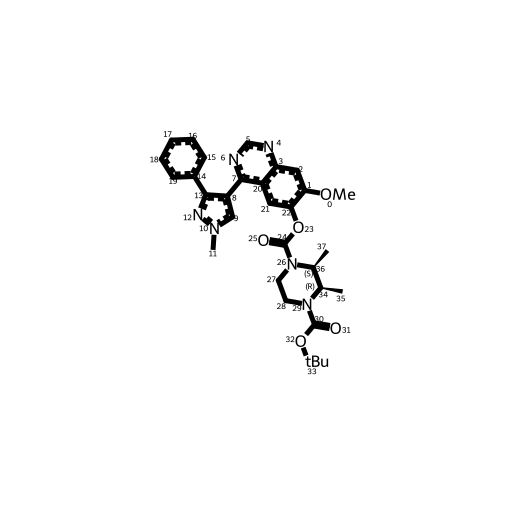 COc1cc2ncnc(-c3cn(C)nc3-c3ccccc3)c2cc1OC(=O)N1CCN(C(=O)OC(C)(C)C)[C@H](C)[C@@H]1C